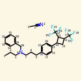 CC#N.CCCN(CCCc1ccc(C2CC(C(F)(F)F)C2C(F)(F)F)cc1)Cc1ccccc1